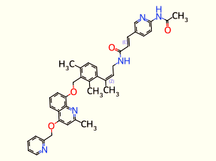 CC(=O)Nc1ccc(/C=C/C(=O)NC/C=C(/C)c2ccc(C)c(COc3cccc4c(OCc5ccccn5)cc(C)nc34)c2C)cn1